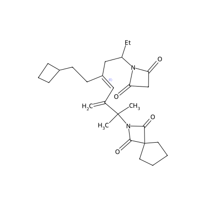 C=C(/C=C(\CCC1CCC1)CC(CC)N1C(=O)CC1=O)C(C)(C)N1C(=O)C2(CCCC2)C1=O